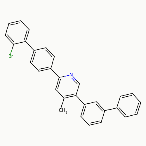 Cc1cc(-c2ccc(-c3ccccc3Br)cc2)ncc1-c1cccc(-c2ccccc2)c1